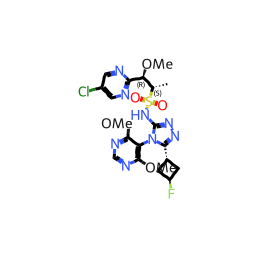 COc1ncnc(OC)c1-n1c(NS(=O)(=O)[C@@H](C)[C@H](OC)c2ncc(Cl)cn2)nnc1[C@H]1C[C@H](F)C1